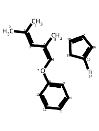 CC(C)=CC(C)=COc1ccccc1.[Ti][C]1=CC=CC1